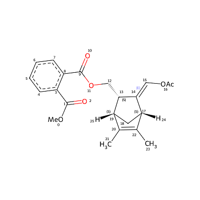 COC(=O)c1ccccc1C(=O)OC[C@@H]1/C(=C/OC(C)=O)[C@H]2C[C@@H]1C(C)=C2C